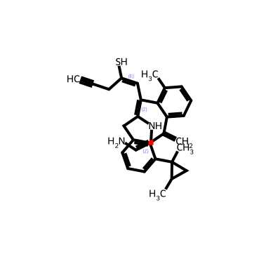 C#CC/C(S)=C\C1=C(\N/C=C\N)Cc2cccc(C3(C)CC3C)c2C(=C)c2cccc(C)c21